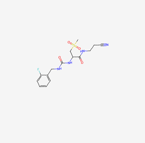 CS(=O)(=O)CC(NC(=O)NCc1ccccc1F)C(=O)NCCC#N